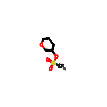 O=S(=O)(OC1=COCCC1)C(F)(F)F